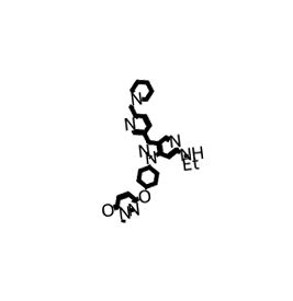 CCNc1cc2c(cn1)c(-c1ccc(CN3CCCCC3)nc1)nn2[C@H]1CC[C@@H](Oc2ccc(=O)n(C)n2)CC1